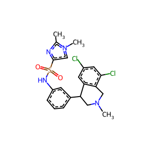 Cc1nc(S(=O)(=O)Nc2cccc(C3CN(C)Cc4c(Cl)cc(Cl)cc43)c2)cn1C